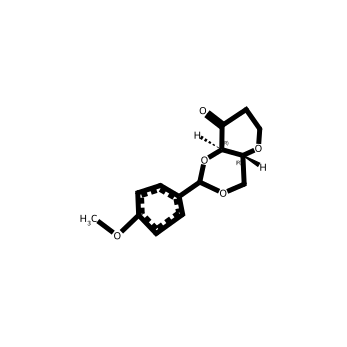 COc1ccc(C2OC[C@H]3OCCC(=O)[C@@H]3O2)cc1